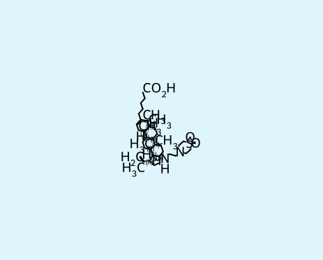 C=C(C)[C@@H]1CC[C@]2(NCCN3CCS(=O)(=O)CC3)CC[C@]3(C)[C@H](CC[C@@H]4[C@@]5(C)CC=C(CCCCCC(=O)O)C(C)(C)[C@@H]5CC[C@]43C)[C@@H]12